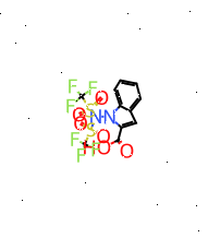 O=C(O)c1cc2ccccc2n1N(S(=O)(=O)C(F)(F)F)S(=O)(=O)C(F)(F)F